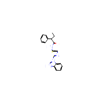 CCC(C(=O)Nc1cnc(-[n+]2c[nH]c3ccccc32)s1)c1ccccc1